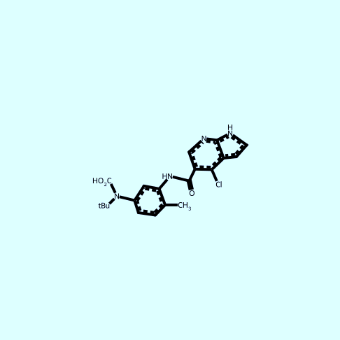 Cc1ccc(N(C(=O)O)C(C)(C)C)cc1NC(=O)c1cnc2[nH]ccc2c1Cl